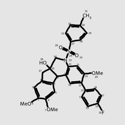 COc1cc2c(cc1OC)C1c3cc(-c4ccc(F)cc4)c(OC)cc3N(S(=O)(=O)c3ccc(C)cc3)CC1(O)C2